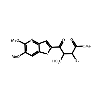 CCC(C(=O)OC)C(C(=O)O)C(=O)c1cc2nc(OC)c(OC)cc2s1